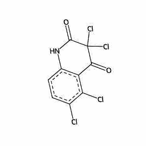 O=C1Nc2ccc(Cl)c(Cl)c2C(=O)C1(Cl)Cl